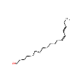 CC/C=C/C=C\CCCCCCCCCCCC=O